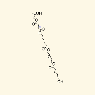 CC(O)COC(=O)/C=C/C(=O)OCCCCCC(=O)OCCOCCOC(=O)CCCCCO